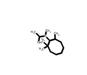 CC1CCCCCC(C)(C)C1N(C)C(C)O